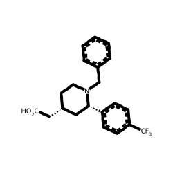 O=C(O)C[C@@H]1CCN(Cc2ccccc2)[C@H](c2ccc(C(F)(F)F)cc2)C1